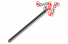 C=C=C=C=C=C=C=C=C=C=C=C=C=C=C=C=C=C=C=C=C=C=C=C=C=C=C=C=C=C=C=C=C=C=C=C(OC(=O)CCC(C)(c1ccc(OC(C)=O)cc1)c1ccc(OC(C)=O)cc1)OC(=O)CCC(C)(c1ccc(OC(C)=O)cc1)c1ccc(OC(C)=O)cc1